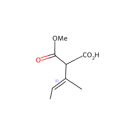 C/C=C(\C)C(C(=O)O)C(=O)OC